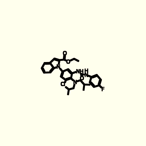 CCOC(=O)c1cc2ccccc2n1-c1cc(Cl)c(N(CC(C)C)CC(C)C)c(NC(=O)Nc2ccc(F)cc2)c1